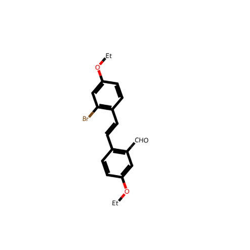 CCOc1ccc(C=Cc2ccc(OCC)cc2C=O)c(Br)c1